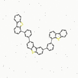 c1cc(-c2ccc3sc4ccc(-c5cccc(-c6cccc7c6sc6ccccc67)c5)cc4c3c2)cc(-c2cccc3c2sc2ccccc23)c1